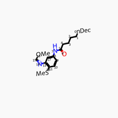 CCCCCCCCCCCCCCC(=O)Nc1ccc(SC)c(/N=C\OC)c1